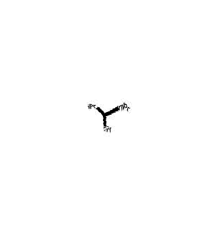 [CH2]CCC(CC[CH2])C(C)C